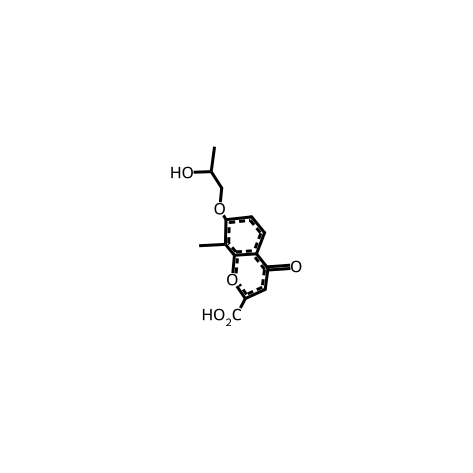 Cc1c(OCC(C)O)ccc2c(=O)cc(C(=O)O)oc12